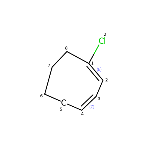 Cl/C1=C/C=C\CCCC1